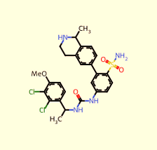 COc1ccc(C(C)NC(=O)Nc2ccc(S(N)(=O)=O)c(-c3ccc4c(c3)CCNC4C)c2)c(Cl)c1Cl